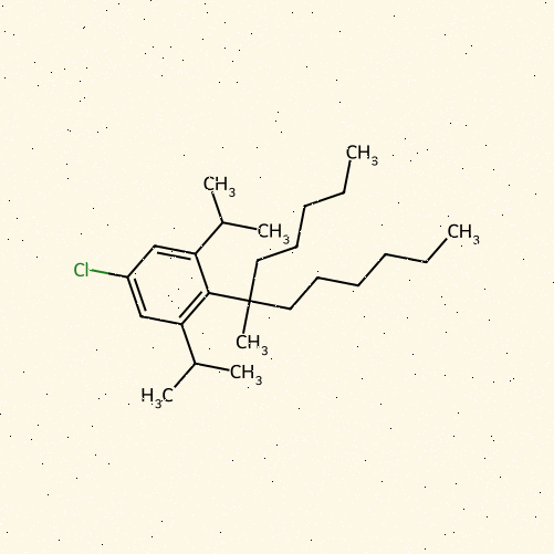 CCCCCCC(C)(CCCCC)c1c(C(C)C)cc(Cl)cc1C(C)C